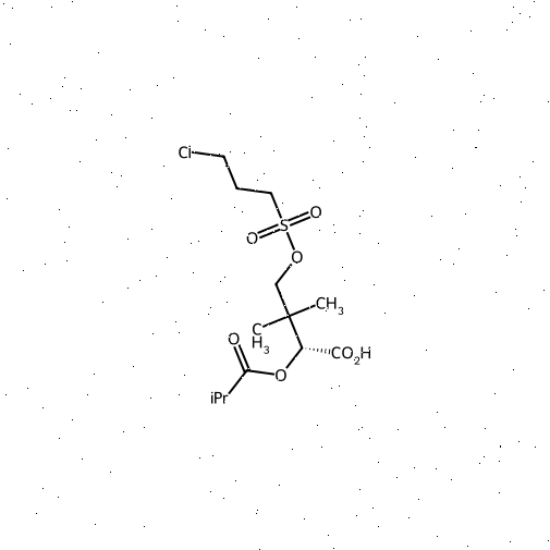 CC(C)C(=O)O[C@@H](C(=O)O)C(C)(C)COS(=O)(=O)CCCCl